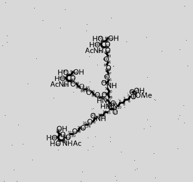 COP(=O)(O)OCCCCCCNC(=O)[C@H](CCCCNC(=O)COCCOCCOCCOC1OC(CO)C(O)C(O)C1NC(C)=O)NC(=O)[C@H](CCCCNC(=O)COCCOCCOCCOC1OC(CO)C(O)C(O)C1NC(C)=O)NC(=O)COCCOCCOCCOC1OC(CO)C(O)C(O)C1NC(C)=O